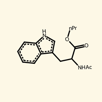 CCCOC(=O)C(Cc1c[nH]c2ccccc12)NC(C)=O